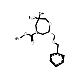 CC(C)(C)OC(=O)N1C[C@@H](COCc2ccccc2)OCC(O)(C(F)(F)F)C1